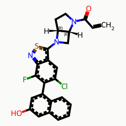 C=CC(=O)N1CC[C@@H]2[C@H]1CN2c1snc2c(F)c(-c3cc(O)cc4ccccc34)c(Cl)cc12